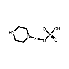 O=P(O)(O)[O][Zn][N]1CCNCC1